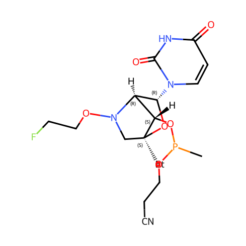 CC[C@@]12CN(OCCF)[C@@H]([C@H](n3ccc(=O)[nH]c3=O)O1)[C@@H]2OP(C)OCCC#N